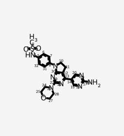 CS(=O)(=O)Nc1ccc(N2CCc3c(-c4cnc(N)nc4)nc(N4CCOCC4)nc32)cc1